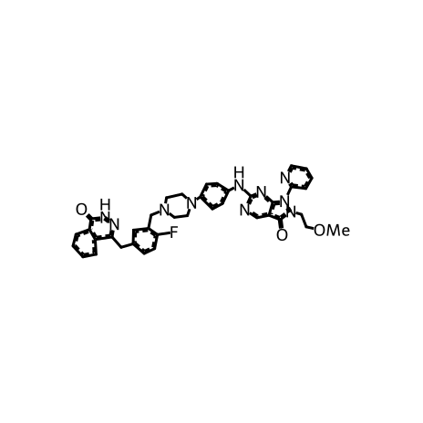 COCCn1c(=O)c2cnc(Nc3ccc(N4CCN(Cc5cc(Cc6n[nH]c(=O)c7ccccc67)ccc5F)CC4)cc3)nc2n1-c1ccccn1